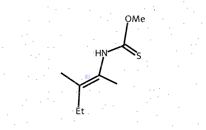 CC/C(C)=C(\C)NC(=S)OC